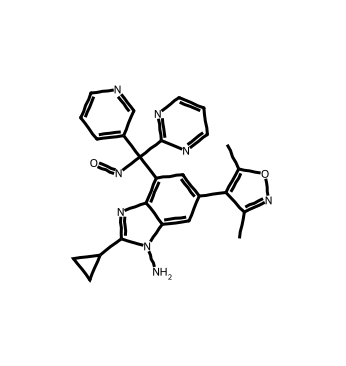 Cc1noc(C)c1-c1cc(C(N=O)(c2cccnc2)c2ncccn2)c2nc(C3CC3)n(N)c2c1